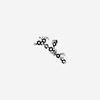 CC1(C)CCC(CN2CCN(c3ccc(C(=O)NS(=O)(=O)c4ccc(NCC5CCOCC5)c([N+](=O)[O-])c4)c(Oc4cnc5[nH]ccc5c4)c3)CC2)=C(c2ccc(Cl)cc2F)C1